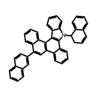 C1=Cc2ccccc2C(n2c3ccccc3c3c4c5ccccc5c(-c5ccc6ccccc6c5)cc4c4ccccc4c32)C1